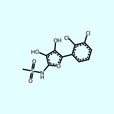 CS(=O)(=O)Nc1oc(-c2cccc(Cl)c2Cl)c(O)c1O